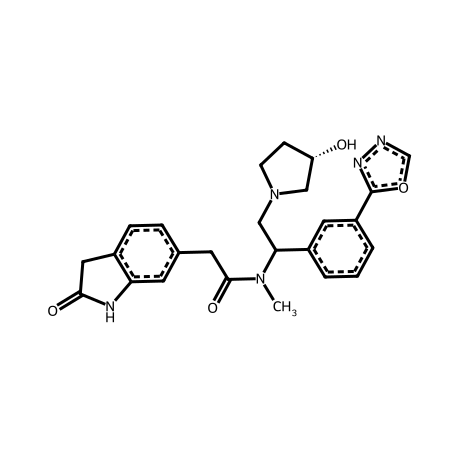 CN(C(=O)Cc1ccc2c(c1)NC(=O)C2)C(CN1CC[C@H](O)C1)c1cccc(-c2nnco2)c1